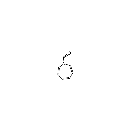 O=[C]N1C=CC=CC=C1